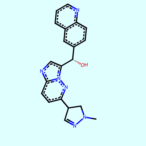 CN1CC(c2ccc3ncc([C@@H](O)c4ccc5ncccc5c4)n3n2)C=N1